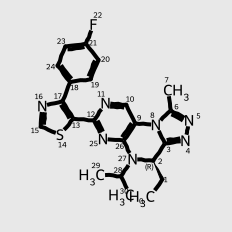 CC[C@@H]1c2nnc(C)n2-c2cnc(-c3scnc3-c3ccc(F)cc3)nc2N1C(C)C